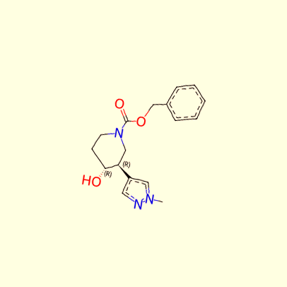 Cn1cc([C@@H]2CN(C(=O)OCc3ccccc3)CC[C@H]2O)cn1